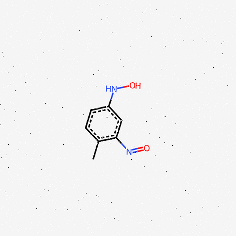 Cc1ccc(NO)cc1N=O